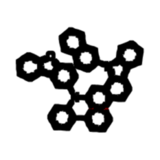 c1ccc(-c2ccccc2N(c2ccc3oc4ccccc4c3c2)c2ccc3ccc4c5ccccc5n(-c5ccc6ccccc6c5)c4c3c2)cc1